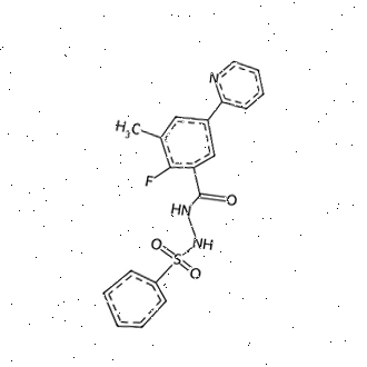 Cc1cc(-c2ccccn2)cc(C(=O)NNS(=O)(=O)c2ccccc2)c1F